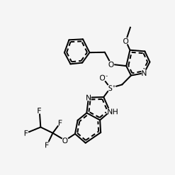 COc1ccnc(C[S+]([O-])c2nc3cc(OC(F)(F)C(F)F)ccc3[nH]2)c1OCc1ccccc1